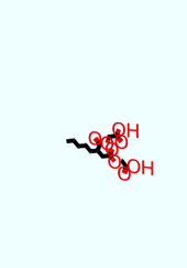 CCCCCC(CC(=O)OCC(=O)O)C(=O)OCC(=O)O